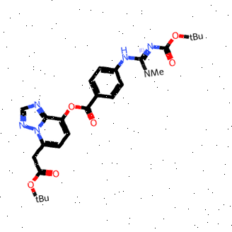 CN/C(=N\C(=O)OC(C)(C)C)Nc1ccc(C(=O)Oc2ccc(CC(=O)OC(C)(C)C)n3ncnc23)cc1